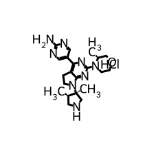 C[C@@H]1CNC[C@]1(C)N1CCc2c(-c3cnc(N)nc3)nc(N3CCOC[C@@H]3C)nc21.Cl